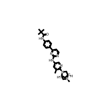 Cc1cc(Nc2nccc(-c3ccc(NC(=O)C(C)(C)C)cc3)n2)cnc1N1C[C@@H]2C[C@H]1CN2C